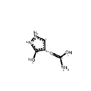 NC(=O)O.Oc1cc[nH]n1